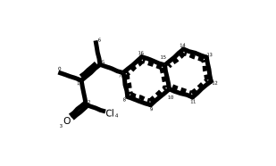 C/C(C(=O)Cl)=C(\C)c1ccc2ccccc2c1